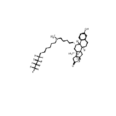 CN(CCCCCCC(F)(F)C(F)(F)C(F)(F)C(F)(F)F)CCCCC[C@H]1C[C@@]2(C)[C@@H](CC3OC(=O)C[C@@]32O)[C@@H]2CCc3cc(O)ccc3[C@@H]12